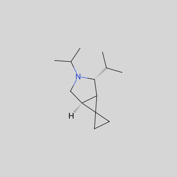 CC(C)[C@@H]1C2[C@H](CN1C(C)C)C21CC1